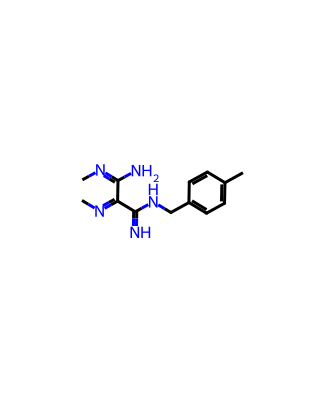 C/N=C(C(=N)NCc1ccc(C)cc1)\C(N)=N/C